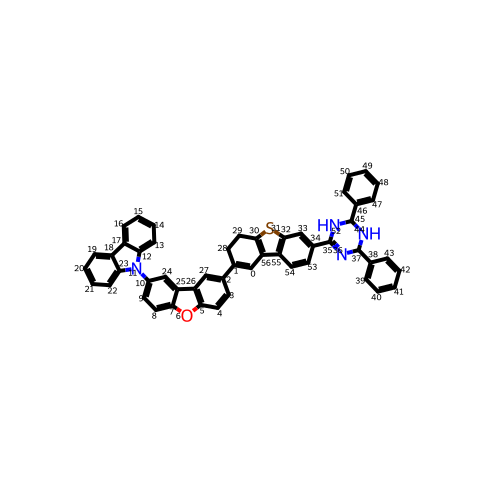 C1=C(c2ccc3oc4ccc(-n5c6ccccc6c6ccccc65)cc4c3c2)CCc2sc3cc(C4=NC(c5ccccc5)NC(c5ccccc5)N4)ccc3c21